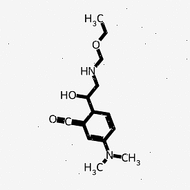 CCOCNCC(O)C1C=CC(N(C)C)=CC1=C=O